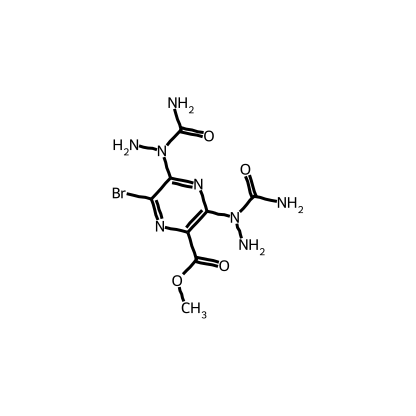 COC(=O)c1nc(Br)c(N(N)C(N)=O)nc1N(N)C(N)=O